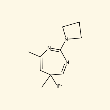 CC1=CC(C)(C(C)C)C=NC(N2CCC2)=N1